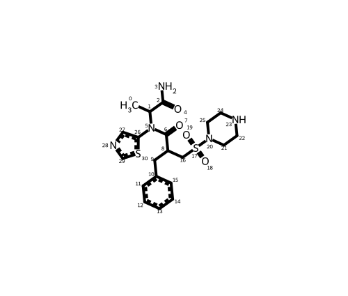 CC(C(N)=O)N(C(=O)C(Cc1ccccc1)CS(=O)(=O)N1CCNCC1)c1cncs1